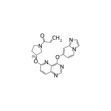 C=CC(=O)N1CC[C@H](Oc2ccc3ncnc(Oc4ccn5ccnc5c4)c3n2)C1